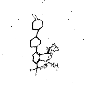 NS(=O)(=O)c1c(C(F)(F)F)ccc(C2CCC(C3CCNCC3)CC2)c1-c1nnn[nH]1